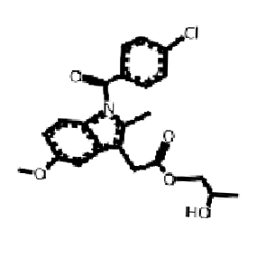 COc1ccc2c(c1)c(CC(=O)OCC(C)O)c(C)n2C(=O)c1ccc(Cl)cc1